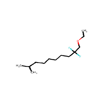 CCOCC(F)(F)CCCCCCC(C)C